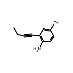 CCC#Cc1cc(O)ccc1N